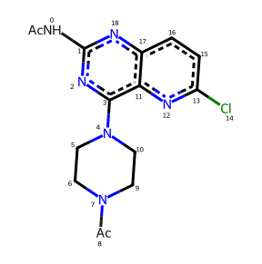 CC(=O)Nc1nc(N2CCN(C(C)=O)CC2)c2nc(Cl)ccc2n1